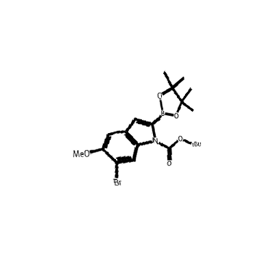 COc1cc2cc(B3OC(C)(C)C(C)(C)O3)n(C(=O)OC(C)(C)C)c2cc1Br